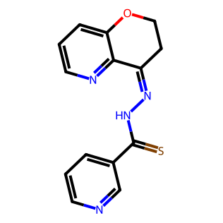 S=C(N/N=C1/CCOc2cccnc21)c1cccnc1